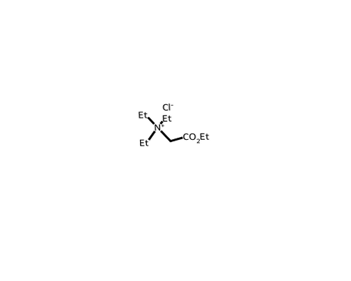 CCOC(=O)C[N+](CC)(CC)CC.[Cl-]